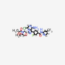 C[C@H](O)C(=O)N1C[C@H](c2nc(-c3ccc(C(=O)Nc4cc(C(F)(F)F)ccn4)cc3F)c3c(N)ncc(Cl)n23)OC[C@@H]1C